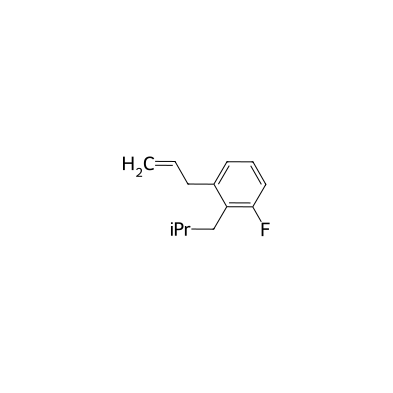 C=CCc1cccc(F)c1CC(C)C